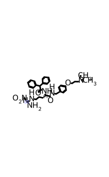 CN(C)CCCOc1ccc(CNC(=O)[C@@H](CCCN/C(N)=N\[N+](=O)[O-])NC(=O)C(c2ccccc2)c2ccccc2)cc1